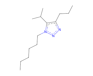 CCCCCCn1nnc(CCC)c1C(C)C